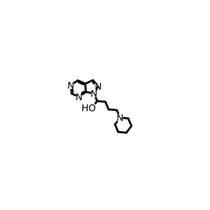 OC(CCCN1CCCCC1)n1ncc2cncnc21